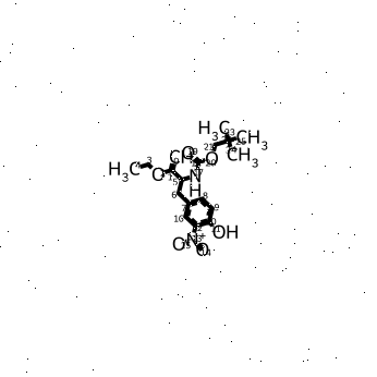 C=C(OCC)C(Cc1ccc(O)c([N+](=O)[O-])c1)NC(=O)OCC(C)(C)C